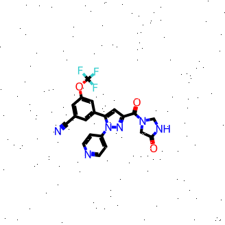 N#Cc1cc(OC(F)(F)F)cc(-c2cc(C(=O)N3CNC(=O)C3)nn2-c2ccncc2)c1